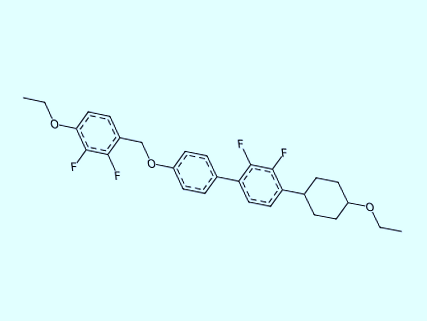 CCOc1ccc(COc2ccc(-c3ccc(C4CCC(OCC)CC4)c(F)c3F)cc2)c(F)c1F